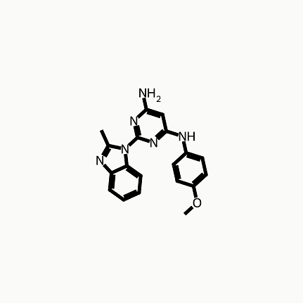 COc1ccc(Nc2cc(N)nc(-n3c(C)nc4ccccc43)n2)cc1